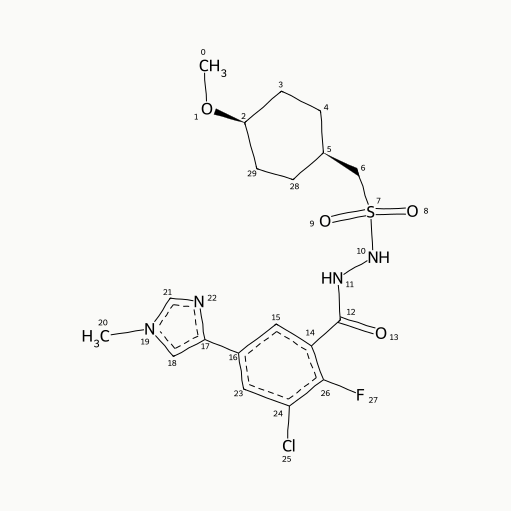 CO[C@H]1CC[C@@H](CS(=O)(=O)NNC(=O)c2cc(-c3cn(C)cn3)cc(Cl)c2F)CC1